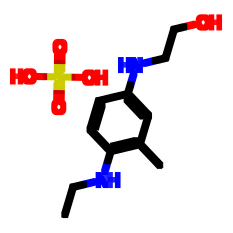 CCNc1ccc(NCCO)cc1C.O=S(=O)(O)O